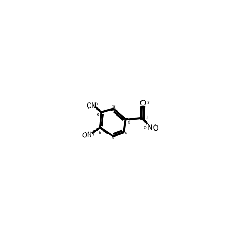 O=NC(=O)c1ccc(N=O)c(N=O)c1